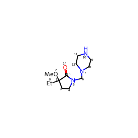 CCC1(OC)CCN(CN2CCNCC2)C1=O